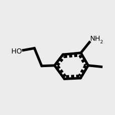 Cc1ccc(CCO)cc1N